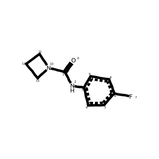 O=C(Nc1ccc(F)cc1)N1CCC1